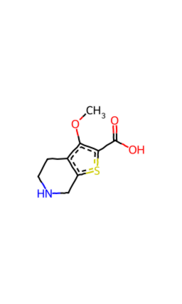 COc1c(C(=O)O)sc2c1CCNC2